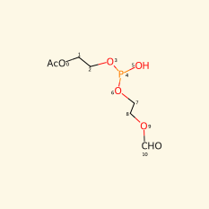 CC(=O)OCCOP(O)OCCOC=O